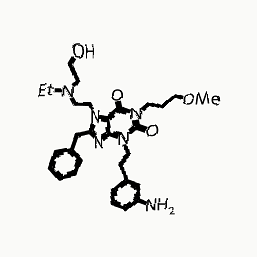 CCN(CCO)CCn1c(Cc2ccccc2)nc2c1c(=O)n(CCCOC)c(=O)n2CCc1cccc(N)c1